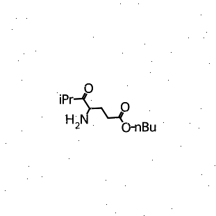 CCCCOC(=O)CCC(N)C(=O)C(C)C